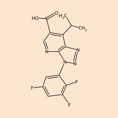 CC(C)c1c(C(=O)O)cnc2c1nnn2-c1cc(F)cc(F)c1F